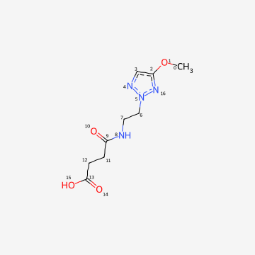 COc1cnn(CCNC(=O)CCC(=O)O)n1